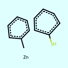 Cc1ccccc1.Sc1ccccc1.[Zn]